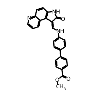 COC(=O)c1ccc(-c2ccc(NC=C3C(=O)Nc4ccc5ncccc5c43)cc2)cc1